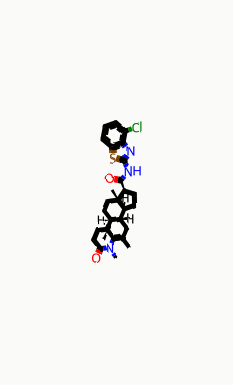 CC1=C2N(C)C(=O)CC[C@]2(C)[C@H]2CC[C@]3(C)[C@@H](C(=O)Nc4nc5c(Cl)cccc5s4)CC[C@H]3[C@@H]2C1